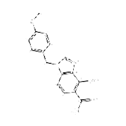 CBc1ccc(Cn2cnc3c(OC)c(C(N)=O)ccc32)cc1